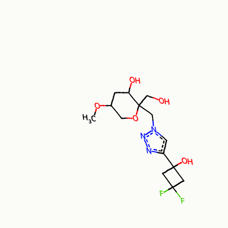 COC1COC(CO)(Cn2cc(C3(O)CC(F)(F)C3)nn2)C(O)C1